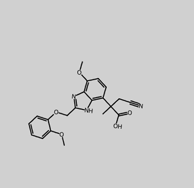 COc1ccccc1OCc1nc2c(OC)ccc(C(C)(CC#N)C(=O)O)c2[nH]1